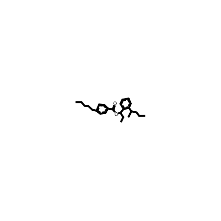 CCCCCc1ccc(C(=O)OC(CC)c2ccccc2C(C)CCC)cc1